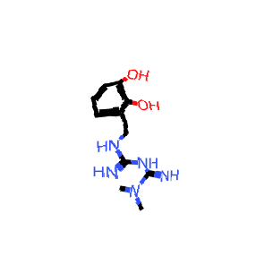 CN(C)C(=N)NC(=N)NCc1cccc(O)c1O